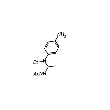 CCN(c1ccc(N)cc1)C(C)NC(C)=O